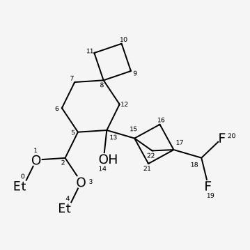 CCOC(OCC)C1CCC2(CCC2)CC1(O)C12CC(C(F)F)(C1)C2